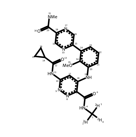 [2H]C([2H])([2H])NC(=O)c1nnc(NC(=O)C2CC2)cc1Nc1cccc(-c2cnc(C(=O)NC)cn2)c1OC